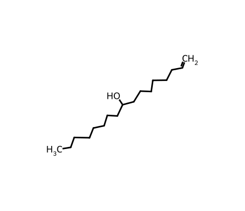 C=CCCCCCCC(O)CCCCCCCC